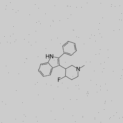 CN1CCC(F)C(c2c(-c3ccccc3)[nH]c3ccccc23)C1